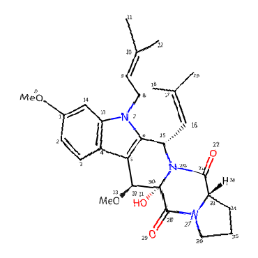 COc1ccc2c3c(n(CC=C(C)C)c2c1)[C@H](C=C(C)C)N1C(=O)[C@@H]2CCCN2C(=O)[C@@]1(O)[C@H]3OC